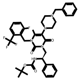 Cc1c(N2CCN(Cc3ccccc3)CC2)c(=O)n(C[C@H](NC(=O)OC(C)(C)C)c2ccccc2)c(=O)n1Cc1c(F)cccc1C(F)(F)F